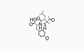 COc1ccc(C[C@H](NC(=O)C(CC(C)C)C(C)(S)C(C)=O)C(=O)O)cc1